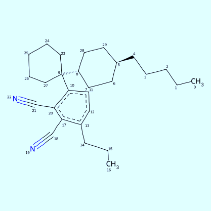 CCCCC[C@H]1CC[C@H](C2(c3ccc(CCC)c(C#N)c3C#N)CCCCC2)CC1